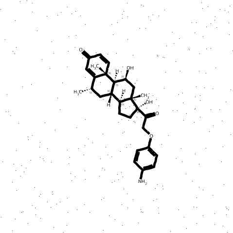 C[C@H]1C[C@@H]2[C@H]([C@@H](O)C[C@@]3(C)[C@H]2CC[C@]3(O)C(=O)COc2ccc(N)cc2)[C@@]2(C)C=CC(=O)C=C12